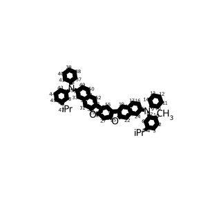 Cc1ccc(C(C)C)cc1N(c1ccccc1)c1ccc2cc3c(cc2c1)oc1cc2oc4cc5cc(N(c6ccccc6)c6cccc(C(C)C)c6)ccc5cc4c2cc13